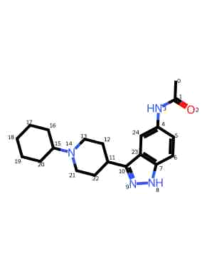 CC(=O)Nc1ccc2[nH]nc(C3CCN(C4CCCCC4)CC3)c2c1